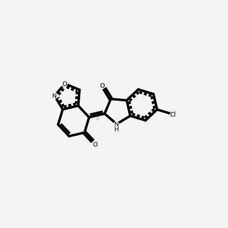 O=C1C=Cc2nocc2/C1=C1/Nc2cc(Cl)ccc2C1=O